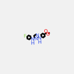 COC(=O)c1ccc(Nc2nccc(Nc3ccc(F)cc3)n2)cc1